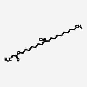 C=CC(=O)OCCCCCCCCCCCCCCCCCC.[CaH2]